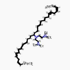 CCCCC/C=C\C/C=C\CCCCCCCCC(CCCCCCCC/C=C\C/C=C\CCCCC)N(CCN(CC)CC)CCN(CC)CC